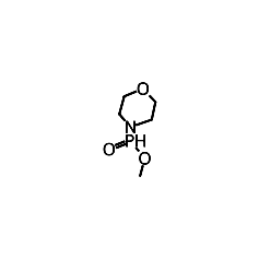 CO[PH](=O)N1CCOCC1